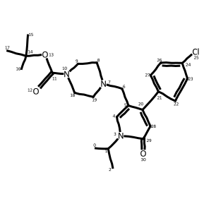 CC(C)n1cc(CN2CCN(C(=O)OC(C)(C)C)CC2)c(-c2ccc(Cl)cc2)cc1=O